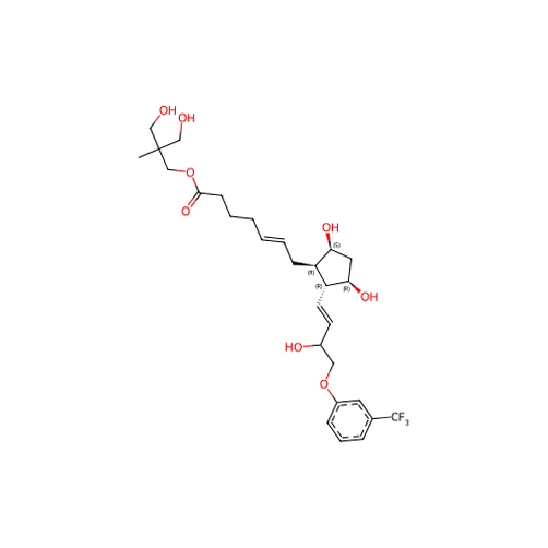 CC(CO)(CO)COC(=O)CCCC=CC[C@@H]1[C@@H](C=CC(O)COc2cccc(C(F)(F)F)c2)[C@H](O)C[C@@H]1O